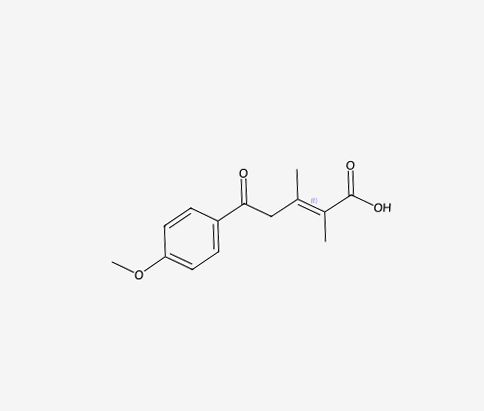 COc1ccc(C(=O)C/C(C)=C(\C)C(=O)O)cc1